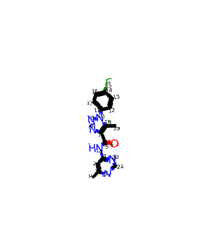 Cc1cc(NC(=O)c2nnn(-c3ccc(F)cc3)c2C)ncn1